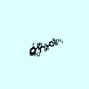 COCc1c(-c2nc(C3CCN(S(C)(=O)=O)CC3)no2)nnn1-c1ccccc1F